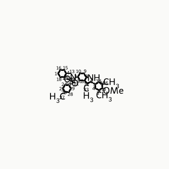 COc1c(C)cc(-c2[nH]c3ccc(N(Cc4ccccc4)S(=O)(=O)c4ccc(C)cc4)cc3c2C)cc1C